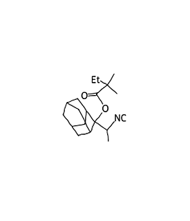 [C-]#[N+]C(C)C1(OC(=O)C(C)(C)CC)C2CC3CC(C2)CC1C3